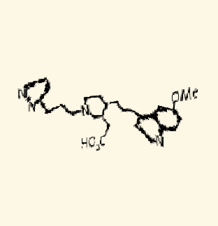 COc1ccc2nccc(CCC[C@@H]3CCN(CCCc4cccnn4)C[C@@H]3CC(=O)O)c2c1